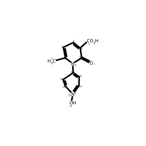 Cc1ccc(C(=O)O)c(=O)n1-c1cc[n+](O)cc1